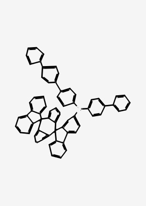 c1ccc(-c2ccc(-c3ccc(N(c4ccc(-c5ccccc5)cc4)c4ccc5c(c4)C4(c6ccccc6-5)c5ccccc5C5(c6ccccc6-c6ccccc65)c5ccccc54)cc3)cc2)cc1